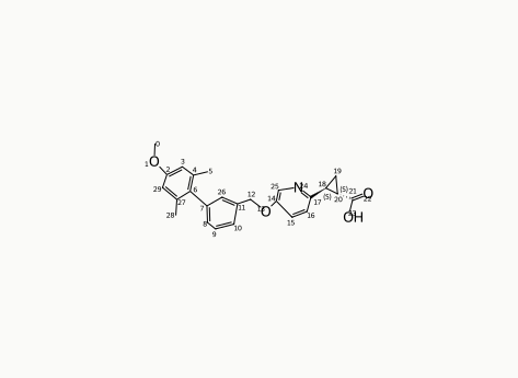 COc1cc(C)c(-c2cccc(COc3ccc([C@H]4C[C@@H]4C(=O)O)nc3)c2)c(C)c1